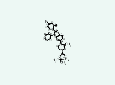 C[C@@H]1CN(C(=O)OC(C)(C)C)CCN1c1ccc2nc(-c3ccc(F)cc3F)n(-c3ccnnc3)c2n1